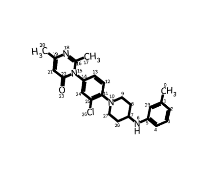 Cc1cccc(NC2CCN(c3ccc(-n4c(C)nc(C)cc4=O)cc3Cl)CC2)c1